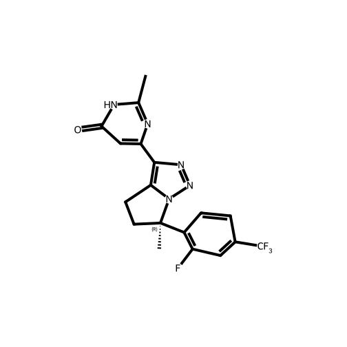 Cc1nc(-c2nnn3c2CC[C@]3(C)c2ccc(C(F)(F)F)cc2F)cc(=O)[nH]1